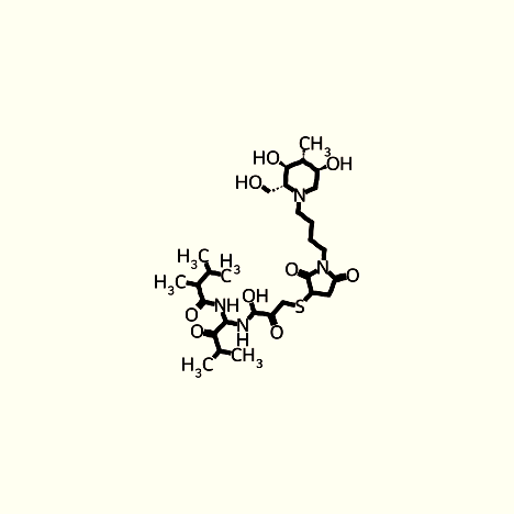 CC(C)C(=O)C(NC(=O)C(C)C(C)C)NC(O)C(=O)CSC1CC(=O)N(CCCCN2C[C@H](O)[C@@H](C)[C@H](O)[C@H]2CO)C1=O